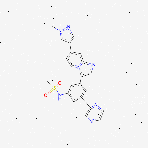 Cn1cc(-c2ccn3c(-c4cc(NS(C)(=O)=O)cc(-c5cnccn5)c4)cnc3c2)cn1